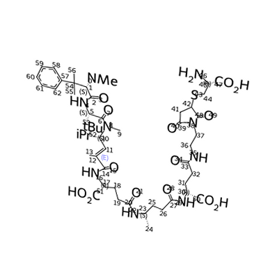 CN[C@H](C(=O)N[C@H](C(=O)N(C)[C@H](/C=C(\C)C(=O)N[C@H](CCC(=O)N[C@@H](C)CCC(=O)N[C@H](CCC(=O)NCCN1C(=O)CC(SC[C@H](N)C(=O)O)C1=O)C(=O)O)C(=O)O)C(C)C)C(C)(C)C)C(C)(C)c1ccccc1